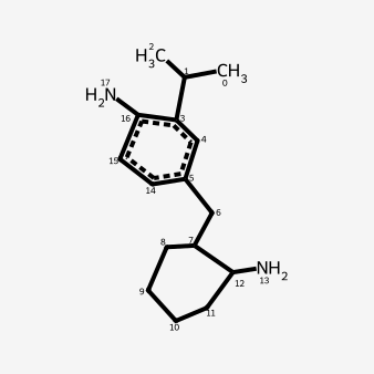 CC(C)c1cc(CC2CCCCC2N)ccc1N